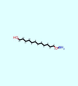 NOCCCCCCCCCCCCO